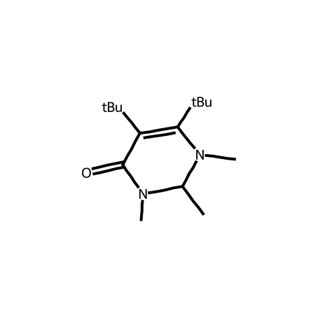 CC1N(C)C(=O)C(C(C)(C)C)=C(C(C)(C)C)N1C